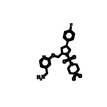 NCc1ccnc(OC[C@H]2C[C@@H](c3ccc(F)cc3)CN2S(=O)(=O)N2CCS(=O)(=O)CC2)c1